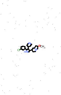 COC1CC2C=C(c3c[nH]c(-c4cccc(Cl)c4)c3-c3ccncc3)CCN2C1